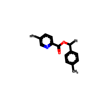 CCCc1ccc(C(=O)OC(CC)c2ccc(C)cc2)nc1